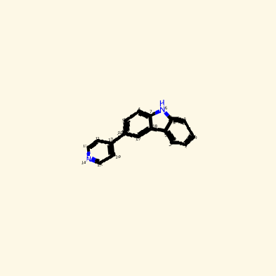 c1ccc2c(c1)[nH]c1ccc(-c3ccncc3)cc12